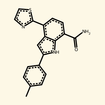 Cc1ccc(-c2cc3c(-c4nccs4)ccc(C(N)=O)c3[nH]2)cc1